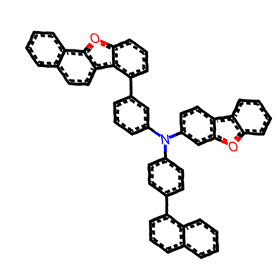 c1cc(-c2cccc3oc4c5ccccc5ccc4c23)cc(N(c2ccc(-c3cccc4ccccc34)cc2)c2ccc3c(c2)oc2ccccc23)c1